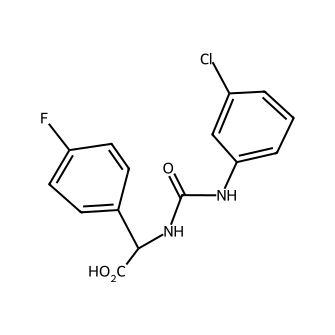 O=C(Nc1cccc(Cl)c1)NC(C(=O)O)c1ccc(F)cc1